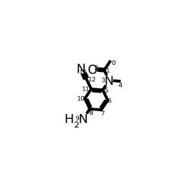 CC(=O)N(C)c1ccc(N)cc1C#N